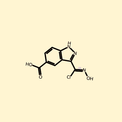 O=C(O)c1ccc2[nH]nc(/C(Cl)=N/O)c2c1